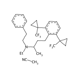 CC#N.CCN(CCc1ccccc1)C(C)CCc1c(C2(C(F)(F)F)CC2)cccc1C1(C(F)(F)F)CC1